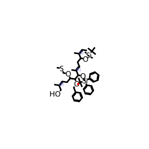 C/C=C(/C)C(C/C=C(\C)C(O[Si](c1ccccc1)(c1ccccc1)C(C)(C)C)C(OCc1ccccc1)C(C/C=C(/C)CO)OCSC)O[Si](C)(C)C(C)(C)C